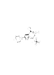 C[C@@H]1COCCN1c1cc2n(n1)[C@@H](CC(F)(F)F)CNC2=O